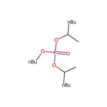 CCCCOP(=O)(OC(C)CCCC)OC(C)CCCC